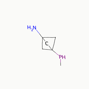 CPC12CC(N)(C1)C2